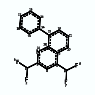 FC(F)c1cc(C(F)F)c2cccc(-c3ccccc3)c2n1